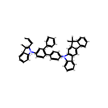 C/C=C\c1c(C)c2ccccc2n1-c1ccc(-c2ccc(-n3c4ccccc4c4cc5c(cc43)C(C)(C)c3ccccc3-5)cc2)c(-c2ccccc2)c1